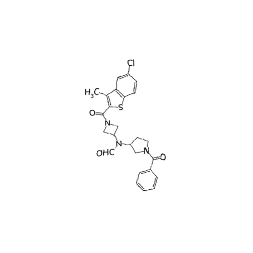 Cc1c(C(=O)N2CC(N(C=O)C3CCN(C(=O)c4ccccc4)C3)C2)sc2ccc(Cl)cc12